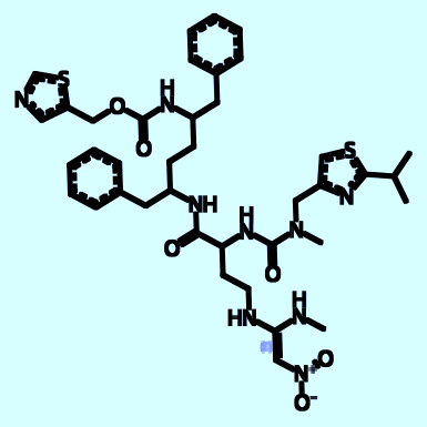 CN/C(=C\[N+](=O)[O-])NCCC(NC(=O)N(C)Cc1csc(C(C)C)n1)C(=O)NC(CCC(Cc1ccccc1)NC(=O)OCc1cncs1)Cc1ccccc1